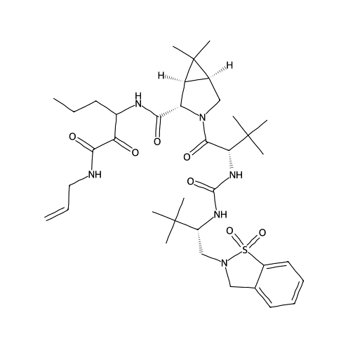 C=CCNC(=O)C(=O)C(CCC)NC(=O)[C@@H]1[C@@H]2[C@H](CN1C(=O)[C@@H](NC(=O)N[C@H](CN1Cc3ccccc3S1(=O)=O)C(C)(C)C)C(C)(C)C)C2(C)C